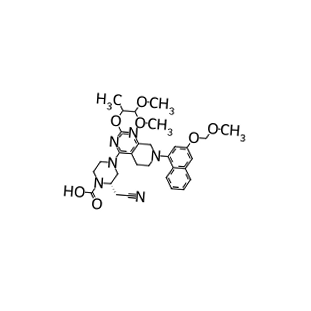 COCOc1cc(N2CCc3c(nc(OC(C)C(OC)OC)nc3N3CCN(C(=O)O)[C@@H](CC#N)C3)C2)c2ccccc2c1